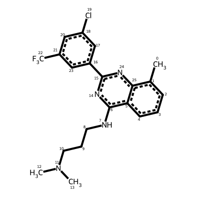 Cc1cccc2c(NCCCN(C)C)nc(-c3cc(Cl)cc(C(F)(F)F)c3)nc12